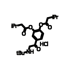 CC(C)CC(=O)Oc1ccc(C(=O)CNC(C)(C)C)cc1OC(=O)CC(C)C.Cl